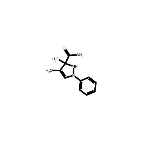 CC1=CN(c2ccccc2)NC1(C)C(N)=O